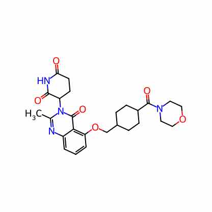 Cc1nc2cccc(OCC3CCC(C(=O)N4CCOCC4)CC3)c2c(=O)n1C1CCC(=O)NC1=O